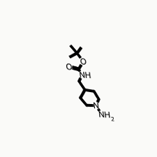 CC(C)(C)OC(=O)NCC1CCN(N)CC1